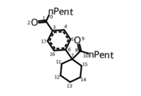 CCCCCC(=O)c1ccc(C2(C(=O)CCCCC)CCCCC2)cc1